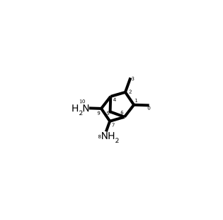 CC1C(C)C2CC1C(N)C2N